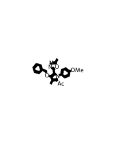 COc1ccc(-n2c(C(C)=O)c(C)c(OCc3ccccc3)c2-c2nnc(C)o2)cc1